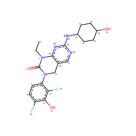 CCN1C(=O)N(c2ccc(F)c(O)c2F)Cc2cnc(NC3CCC(O)CC3)nc21